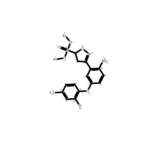 CCOP(=O)(OCC)C1CC(c2cc(Oc3ccc(C(F)(F)F)cc3Cl)ccc2[N+](=O)[O-])=NO1